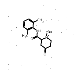 Cc1cccc(C)c1NC(=O)C1CC(=O)CCN1C(C)(C)C